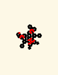 CC(C)(C)c1ccc2c(c1)c1cc(C(C)(C)C)ccc1n2-c1cc2c3c(c1)N(c1c(-c4ccccc4)cc(-c4ccccc4)cc1-c1ccccc1)c1cc(-n4c5ccccc5c5ccccc54)ccc1B3c1ccc(N3C4CC5CC(C4)CC3C5)cc1N2c1c(-c2ccccc2)cc(-c2ccccc2)cc1-c1ccccc1